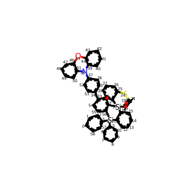 c1ccc([Si]2(c3ccccc3)c3ccccc3[Si]3(c4ccccc4Sc4ccccc43)c3cc(-c4ccc(N5c6ccccc6Oc6ccccc65)cc4)ccc32)cc1